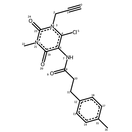 C#CCn1c(Cl)c(NC(=O)CCc2ccc(C)cc2)c(=O)n(C)c1=O